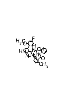 COc1cc(F)ccc1-c1c[nH]c2ncnc(NC(C)c3nn4ccc(C)c4c(=O)n3-c3ccccc3)c12